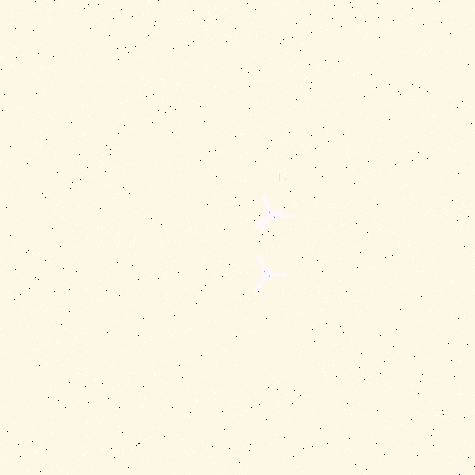 CCSC(N(C)C)=[N+](C)C.[Br-]